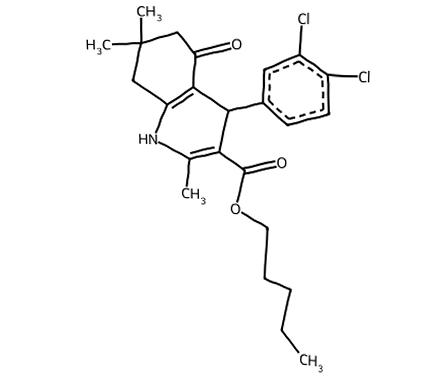 CCCCCOC(=O)C1=C(C)NC2=C(C(=O)CC(C)(C)C2)C1c1ccc(Cl)c(Cl)c1